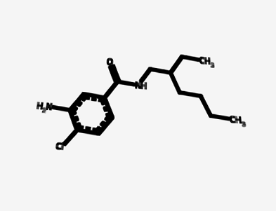 CCCCC(CC)CNC(=O)c1ccc(Cl)c(N)c1